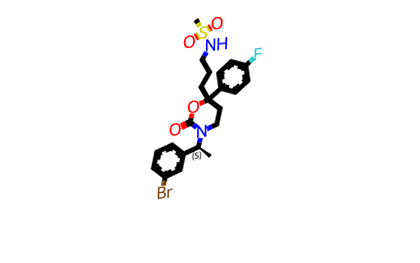 C[C@@H](c1cccc(Br)c1)N1CCC(CCCNS(C)(=O)=O)(c2ccc(F)cc2)OC1=O